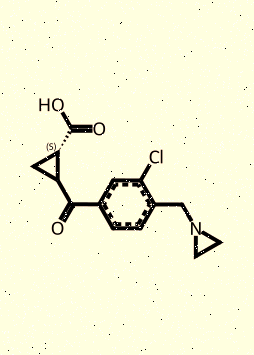 O=C(c1ccc(CN2CC2)c(Cl)c1)C1C[C@@H]1C(=O)O